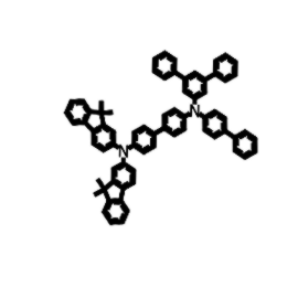 CC1(C)c2ccccc2-c2ccc(N(c3ccc(-c4ccc(N(c5ccc(-c6ccccc6)cc5)c5cc(-c6ccccc6)cc(-c6ccccc6)c5)cc4)cc3)c3ccc4c(c3)C(C)(C)c3ccccc3-4)cc21